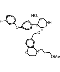 COCCCN1CCOc2ccc(CO[C@H]3CNC[C@@H](O)[C@@H]3c3ccc(Oc4cccc(F)c4)cc3)cc21